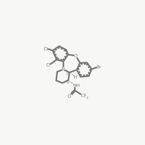 O=C(N[C@@H]1CCCN2c3c(ccc(Cl)c3Cl)Oc3cc(Br)ccc3[C@@H]12)C(F)(F)F